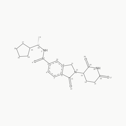 C[C@H](NC(=O)c1ccc2c(c1)CN(C1CCC(=O)NC1=O)C2=O)C1CCCC1